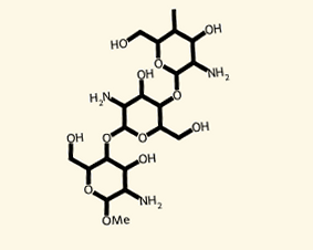 COC1OC(CO)C(OC2OC(CO)C(OC3OC(CO)C(C)C(O)C3N)C(O)C2N)C(O)C1N